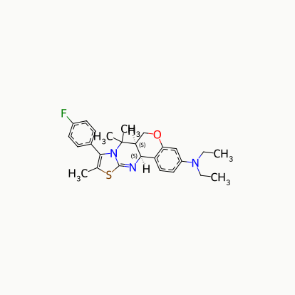 CCN(CC)c1ccc2c(c1)OC[C@H]1[C@@H]2N=C2SC(C)=C(c3ccc(F)cc3)N2C1(C)C